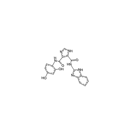 O=C(Nc1ccc(O)cc1O)c1nc[nH]c1C(=O)Nc1nc2ccccc2[nH]1